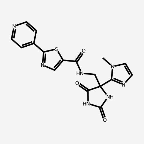 Cn1ccnc1C1(CNC(=O)c2cnc(-c3ccncc3)s2)NC(=O)NC1=O